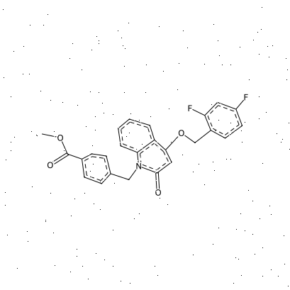 COC(=O)c1ccc(Cn2c(=O)cc(OCc3ccc(F)cc3F)c3ccccc32)cc1